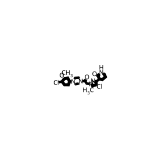 COc1cc(N2CCN(C(=O)Cn3nc(-c4ccc[nH]c4=O)c(Cl)c3C)CC2)ccc1Cl